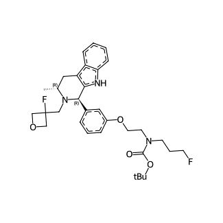 C[C@@H]1Cc2c([nH]c3ccccc23)[C@@H](c2cccc(OCCN(CCCF)C(=O)OC(C)(C)C)c2)N1CC1(F)COC1